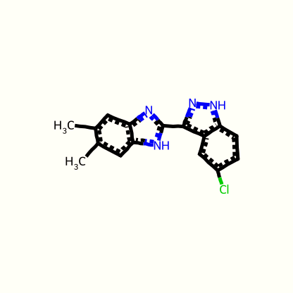 Cc1cc2nc(-c3n[nH]c4ccc(Cl)cc34)[nH]c2cc1C